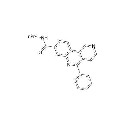 CCCNC(=O)c1ccc2c(c1)nc(-c1ccccc1)c1ccncc12